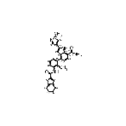 Cc1c(NC(=O)c2cc3c(s2)CCCC3)cccc1-c1ccc(C(N)=O)c2[nH]c(-c3cnn(C)c3)cc12